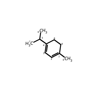 CC1=[C]C=C(C(C)C)CC1